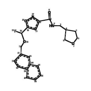 O=C(NCC1CCOC1)c1cc(C(F)OCc2ccc3ccccc3c2)on1